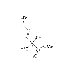 COC(=O)C(C)(C)C=CCBr